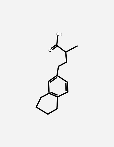 CC(CCc1ccc2c(c1)CCCC2)C(=O)O